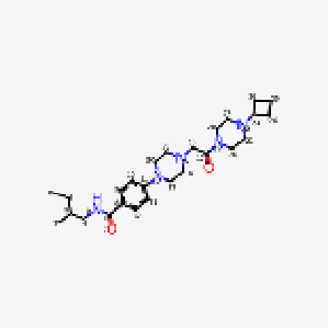 CCC(C)CNC(=O)c1ccc(N2CCN(CC(=O)N3CCN(C4CCC4)CC3)CC2)cc1